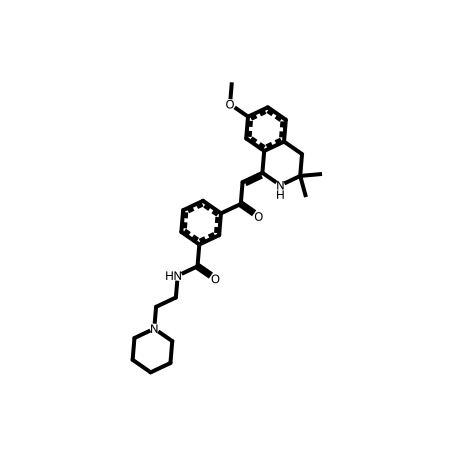 COc1ccc2c(c1)C(=CC(=O)c1cccc(C(=O)NCCN3CCCCC3)c1)NC(C)(C)C2